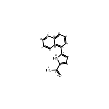 O=C(O)c1ccc(-c2cccc3ncccc23)[nH]1